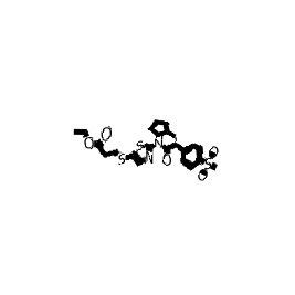 CCOC(=O)CCSc1cnc(NC(=O)[C@H](CC2CCCC2)c2ccc(S(C)(=O)=O)cc2)s1